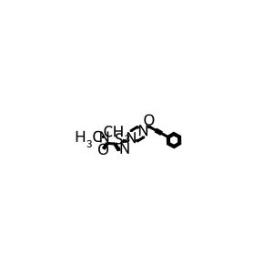 CN(C)C(=O)c1cnc(N2CCN(C(=O)C#Cc3ccccc3)CC2)s1